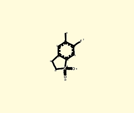 Cc1cc2c(cc1F)S(=O)(=O)CC2